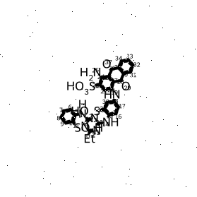 CCc1nc(Nc2ccccc2S(=O)(=O)O)nc(Nc2ccc(Nc3cc(S(=O)(=O)O)c(N)c4c3C(=O)c3ccccc3C4=O)cc2S(=O)(=O)O)n1